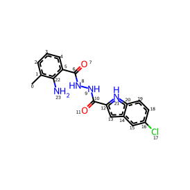 Cc1cccc(C(=O)NNC(=O)c2cc3cc(Cl)ccc3[nH]2)c1N